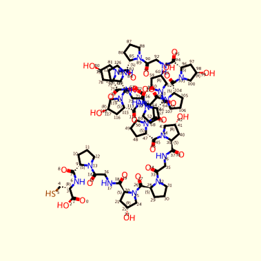 O=C(O)[C@H](CS)NC(=O)[C@@H]1CCCN1C(=O)CNC(=O)[C@@H]1C[C@@H](O)CN1C(=O)[C@@H]1CCCN1C(=O)CNC(=O)[C@@H]1C[C@@H](O)CN1C(=O)[C@@H]1CCCN1C(=O)CNC(=O)[C@@H]1C[C@@H](O)CN1C(=O)[C@@H]1CCCN1C(=O)CNC(=O)[C@@H]1C[C@@H](O)CN1C(=O)[C@@H]1CCCN1C(=O)CNC(=O)[C@@H]1C[C@@H](O)CN1C(=O)[C@@H]1CCCN1C(=O)CNC(=O)[C@@H]1C[C@@H](O)CN1C(=O)[C@@H]1CCCN1